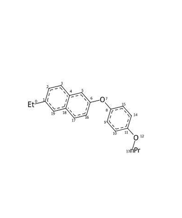 [CH2]Cc1ccc2cc(Oc3ccc(OCCC)cc3)ccc2c1